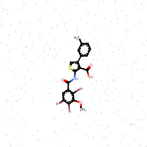 COc1c(Br)c(Br)cc(C(=O)Nc2scc(-c3cccc(C)c3)c2C(=O)O)c1Br